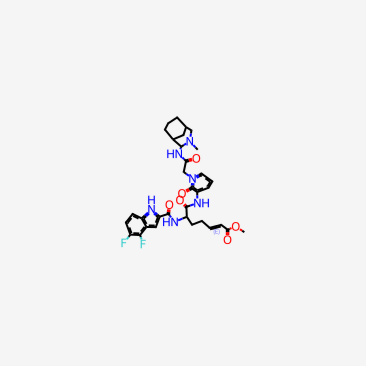 COC(=O)/C=C/CCC(NC(=O)c1cc2c(F)c(F)ccc2[nH]1)C(=O)Nc1cccn(CC(=O)NC2C3CCCC(C3)CN2C)c1=O